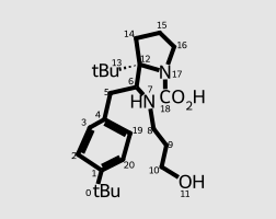 CC(C)(C)c1ccc(CC(NCCCO)[C@@]2(C(C)(C)C)CCCN2C(=O)O)cc1